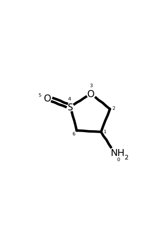 NC1COS(=O)C1